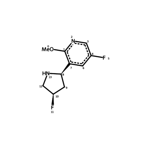 COc1ncc(F)cc1[C@H]1C[C@@H](F)CN1